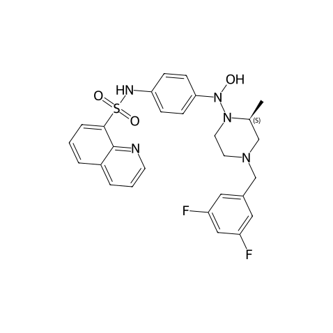 C[C@H]1CN(Cc2cc(F)cc(F)c2)CCN1N(O)c1ccc(NS(=O)(=O)c2cccc3cccnc23)cc1